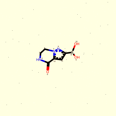 O=C1NCCn2nc(B(O)O)cc21